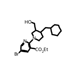 CCOC(=O)c1cc(Br)cnc1N1CCC(CC2CCCCC2)C(CO)C1